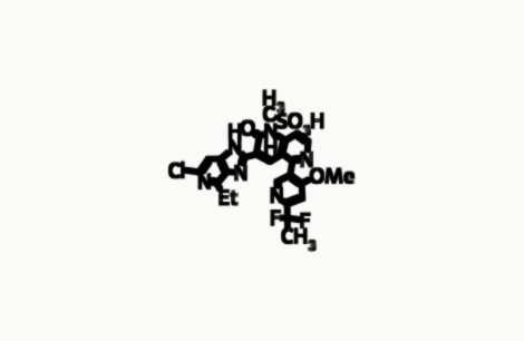 CCc1nc(Cl)cc2[nH]c(-c3cc4c(-c5cnc(C(C)(F)F)cc5OC)nccc4[nH]c3=O)nc12.CS(=O)(=O)O